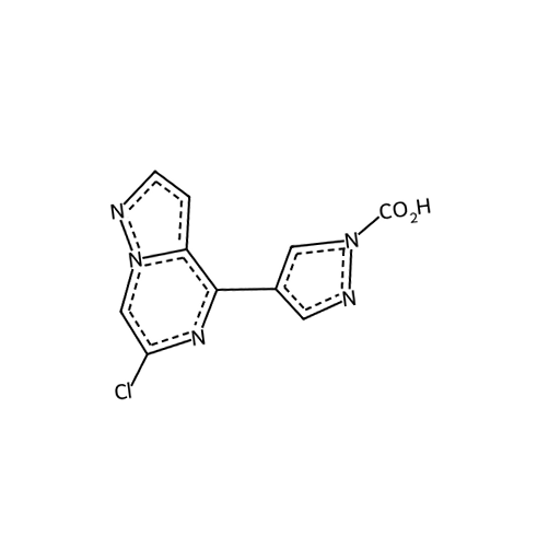 O=C(O)n1cc(-c2nc(Cl)cn3nccc23)cn1